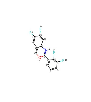 FC1=CC2=COC(c3cccc(F)c3F)=NC2C=C1F